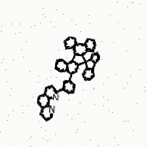 c1cc(-c2ccc3ccc4cccnc4c3n2)cc(-c2cc3c(c4ccccc24)-c2c(c4ccccc4c4ccccc24)C32c3ccccc3-c3ccccc32)c1